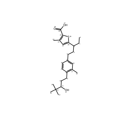 CCC(CCc1ccc(CCC(O)C(C)(C)C)c(C)c1)c1cc(C)c(C(=O)O)s1